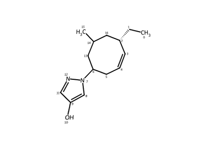 CC[C@@H]1/C=C\CC(n2cc(O)cn2)CC(C)C1